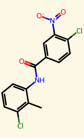 Cc1c(Cl)cccc1NC(=O)c1ccc(Cl)c([N+](=O)[O-])c1